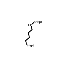 CCCCCCCCCCCPCCCCCCC